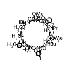 CCCC[C@@H]1NC(=O)[C@H](Cc2cccc(I)c2)NC(=O)CN(C)C(=O)[C@H](Cc2ccc(C)cc2)N(C)C(=O)CN(C)C(=O)CN(C)C(=O)C([C@@H](C)CC)NC(=O)[C@H](CCOC)N(C)C(=O)C[C@@H](C(=O)N2CCCCC2)N(C)C(=O)[C@H](CC(C)C)NC(=O)[C@H](COC)N(C)C1=O